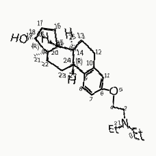 CCN(CC)CCOc1ccc2c(c1)CC[C@@H]1[C@H]3CC[C@@H](O)[C@]3(C)CC[C@@H]21